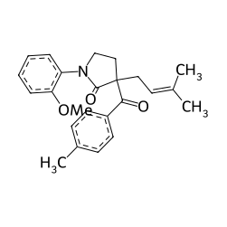 COc1ccccc1N1CCC(CC=C(C)C)(C(=O)c2ccc(C)cc2)C1=O